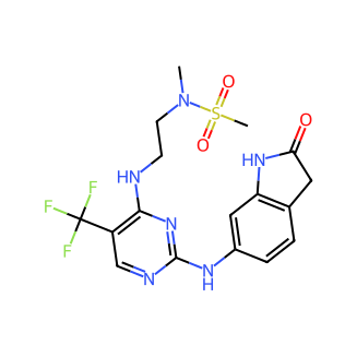 CN(CCNc1nc(Nc2ccc3c(c2)NC(=O)C3)ncc1C(F)(F)F)S(C)(=O)=O